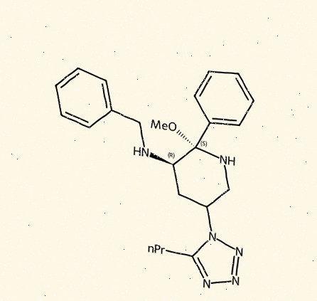 CCCc1nnnn1C1CN[C@](OC)(c2ccccc2)[C@H](NCc2ccccc2)C1